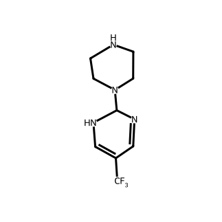 FC(F)(F)C1=CNC(N2CCNCC2)N=C1